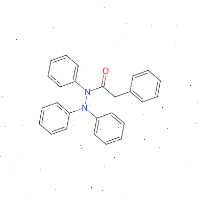 O=C(Cc1ccccc1)N(c1ccccc1)N(c1ccccc1)c1ccccc1